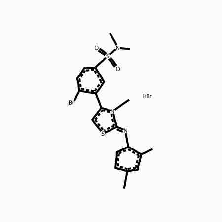 Br.Cc1ccc(N=c2scc(-c3cc(S(=O)(=O)N(C)C)ccc3Br)n2C)c(C)c1